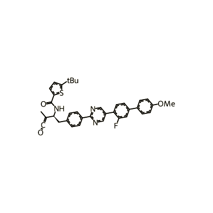 COc1ccc(-c2ccc(-c3cnc(-c4ccc(C[C@H](NC(=O)c5ccc(C(C)(C)C)s5)C(C)=C=O)cc4)nc3)c(F)c2)cc1